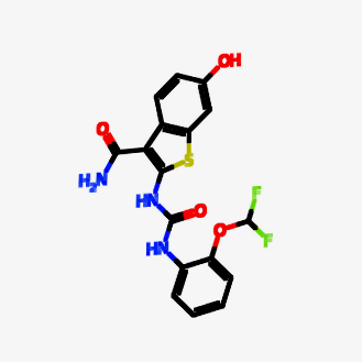 NC(=O)c1c(NC(=O)Nc2ccccc2OC(F)F)sc2cc(O)ccc12